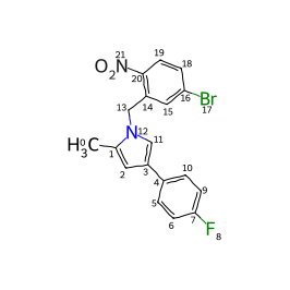 Cc1cc(-c2ccc(F)cc2)cn1Cc1cc(Br)ccc1[N+](=O)[O-]